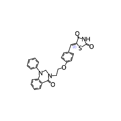 O=C1NC(=O)/C(=C/c2ccc(OCCN3CN(c4ccccc4)c4ccccc4C3=O)cc2)S1